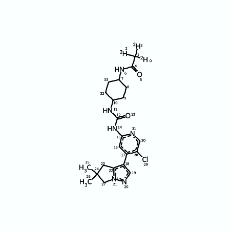 [2H]C([2H])([2H])C(=O)NC1CCC(NC(=O)Nc2cc(-c3cnn4c3CC(C)(C)C4)c(Cl)cn2)CC1